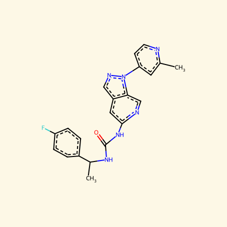 Cc1cc(-n2ncc3cc(NC(=O)NC(C)c4ccc(F)cc4)ncc32)ccn1